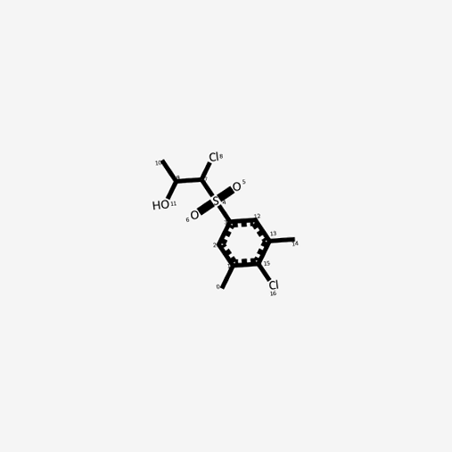 Cc1cc(S(=O)(=O)C(Cl)C(C)O)cc(C)c1Cl